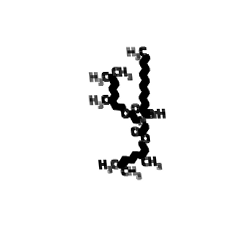 Br.CCCCCCCCCCCCN(CC(=O)OCCC(C)CCC=C(C)C)CC(=O)OCCC(C)CCC=C(C)C